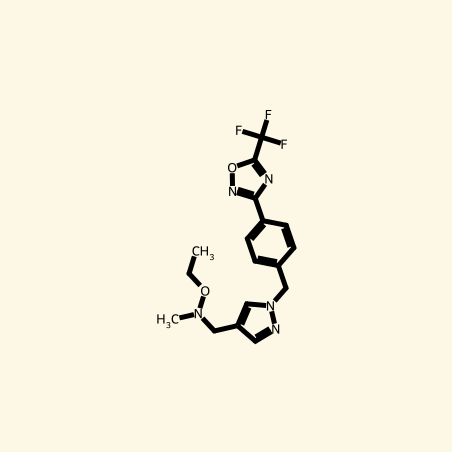 CCON(C)Cc1cnn(Cc2ccc(-c3noc(C(F)(F)F)n3)cc2)c1